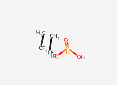 CC(F)(F)F.CC(F)(F)F.O=[PH](O)O